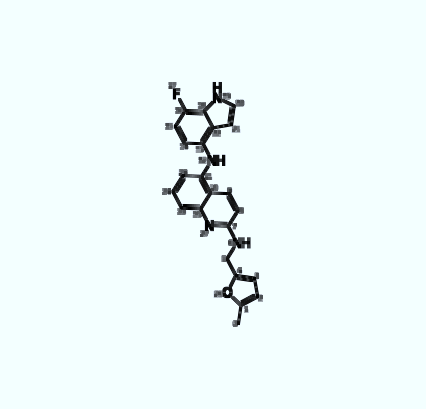 Cc1ccc(CNc2ccc3c(Nc4ccc(F)c5[nH]ccc45)cccc3n2)o1